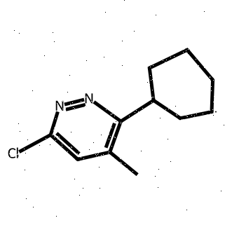 Cc1cc(Cl)nnc1C1C[CH]CCC1